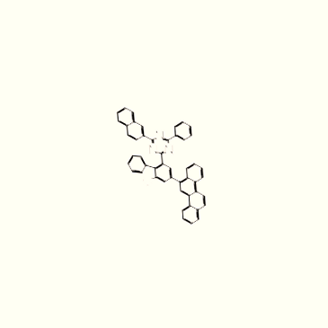 c1ccc(-c2nc(-c3ccc4ccccc4c3)nc(-c3cc(-c4cc5c6ccccc6ccc5c5ccccc45)cc4oc5ccccc5c34)n2)cc1